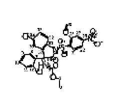 CCOC(=O)NC1(c2ccccc2Cl)C(=O)N(S(=O)(=O)c2ccc([N+](=O)[O-])cc2OC)c2ccc(Cl)cc21